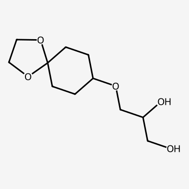 OCC(O)COC1CCC2(CC1)OCCO2